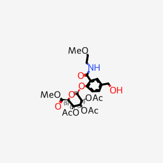 COCCNC(=O)c1cc(CO)ccc1O[C@@H]1O[C@H](C(=O)OC)[C@@H](OC(C)=O)[C@H](OC(C)=O)[C@H]1OC(C)=O